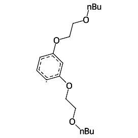 CCCCOCCOc1[c]ccc(OCCOCCCC)c1